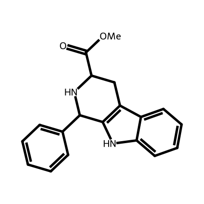 COC(=O)C1Cc2c([nH]c3ccccc23)C(c2ccccc2)N1